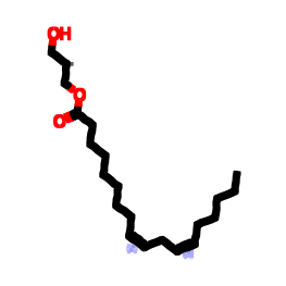 CCCCC/C=C\C/C=C\CCCCCCCC(=O)OC[CH]CO